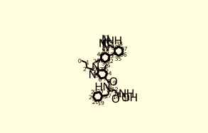 CCCc1nc2cc(C(=O)N[C@@H](CC(=O)NO)Cc3ccccc3)cc(C)c2n1Cc1ccc(-c2ccccc2-c2nnn[nH]2)cc1